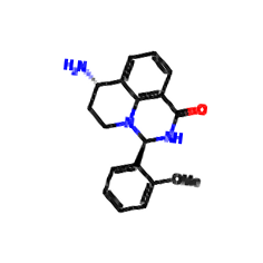 COc1ccccc1[C@@H]1NC(=O)c2cccc3c2N1CC[C@@H]3N